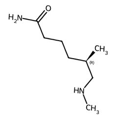 CNC[C@H](C)CCCC(N)=O